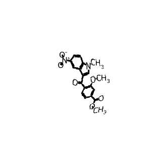 COC(=O)c1ccc(C(=O)c2cn(C)c3ccc([N+](=O)[O-])cc23)c(OC)c1